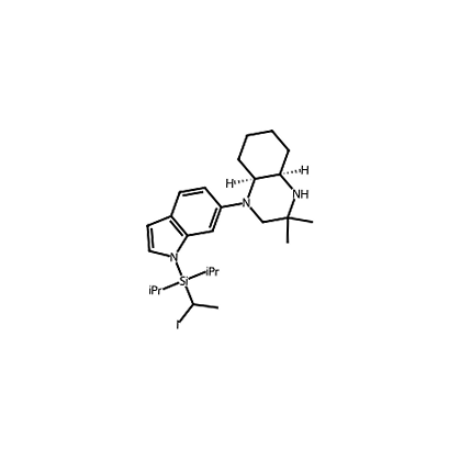 CC(C)[Si](C(C)C)(C(C)I)n1ccc2ccc(N3CC(C)(C)N[C@@H]4CCCC[C@@H]43)cc21